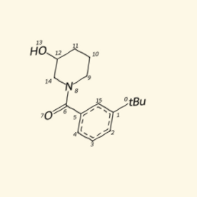 CC(C)(C)c1cccc(C(=O)N2CCCC(O)C2)c1